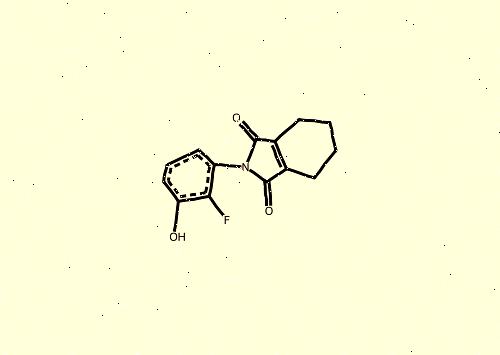 O=C1C2=C(CCCC2)C(=O)N1c1cccc(O)c1F